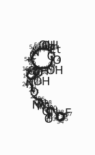 CC[C@H]1OC(=O)[C@H](C)[C@@H](O)[C@H](C)[C@@H](O[C@@H]2O[C@H](C)C[C@H](N(C)CCOCc3cn(C[C@H]4CN(c5cccc(F)c5)C(=O)O4)nn3)[C@H]2O)[C@](C)(O)C[C@@H](C)CN(C)[C@H](C)[C@@H](O)[C@]1(C)O